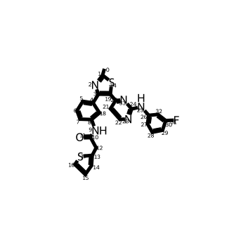 Cc1nc(-c2cccc(NC(=O)Cc3cccs3)c2)c(-c2ccnc(Nc3cccc(F)c3)n2)s1